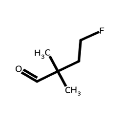 CC(C)(C=O)CCF